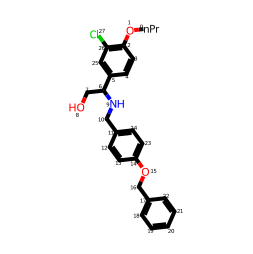 CCCOc1ccc(C(CO)NCc2ccc(OCc3ccccc3)cc2)cc1Cl